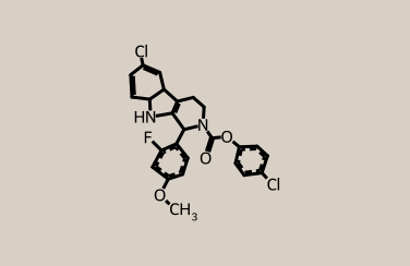 COc1ccc(C2C3=C(CCN2C(=O)Oc2ccc(Cl)cc2)C2C=C(Cl)C=CC2N3)c(F)c1